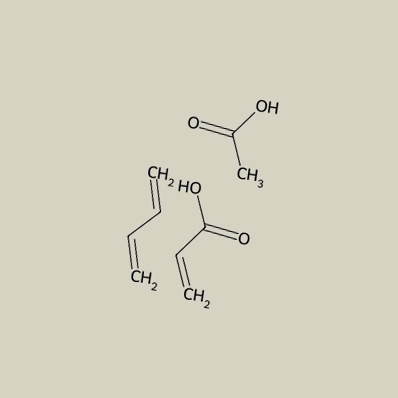 C=CC(=O)O.C=CC=C.CC(=O)O